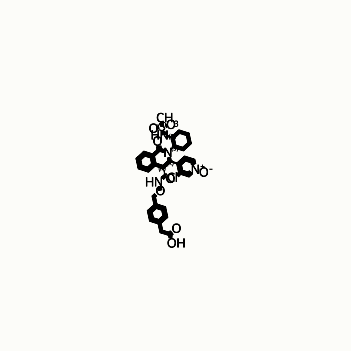 CS(=O)(=O)N[C@H]1CCCC[C@@H]1N1C(=O)c2ccccc2[C@@H](C(=O)NOCc2ccc(CC(=O)O)cc2)[C@@H]1c1cc[n+]([O-])cc1Cl